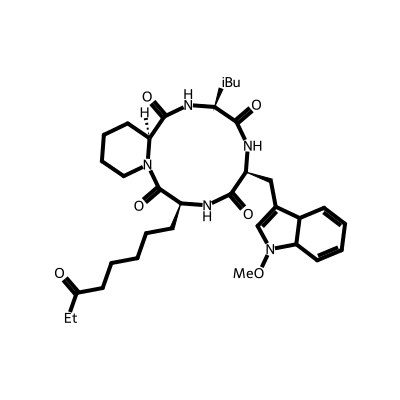 CCC(=O)CCCCC[C@@H]1NC(=O)[C@H](CC2=CN(OC)C3C=CC=CC23)NC(=O)[C@H](C(C)CC)NC(=O)[C@@H]2CCCCN2C1=O